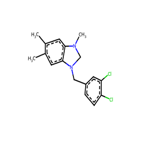 Cc1cc2c(cc1C)N(Cc1ccc(Cl)c(Cl)c1)CN2C